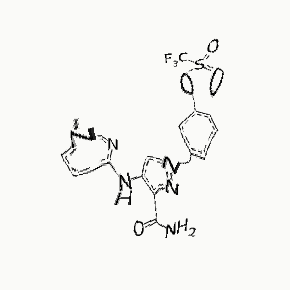 Cn1ccc(Nc2cn(-c3cccc(OS(=O)(=O)C(F)(F)F)c3)nc2C(N)=O)n1